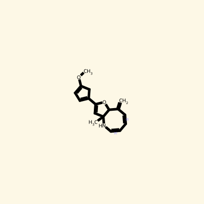 C=C1/C=C\C=C/NC2(C)C=C(C3=CC=C(OC)C3)OC12